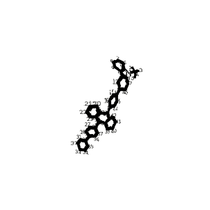 CC(C)(C)n1c2ccccc2c2cc(-c3ccc(-c4c5ccccc5c(-c5ccc(-c6ccccc6)cc5)c5ccccc45)cc3)ccc21